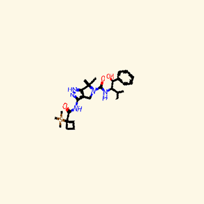 CC(C)C(NC(=O)N1Cc2c(NC(=O)C3(S(C)(C)C)CCC3)n[nH]c2C1(C)C)C(O)c1ccccc1